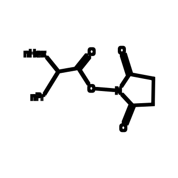 CCCCCCC(CCC)C(=O)ON1C(=O)CCC1=O